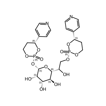 O=[P@]1(OCC(O)[C@H]2O[C@@H](O[P@]3(=O)OCC[C@H](c4ccncc4)O3)[C@@H](O)[C@@H](O)[C@@H]2O)OCC[C@@H](c2ccncc2)O1